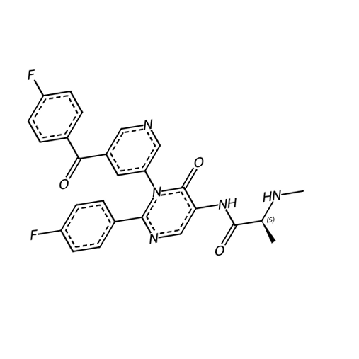 CN[C@@H](C)C(=O)Nc1cnc(-c2ccc(F)cc2)n(-c2cncc(C(=O)c3ccc(F)cc3)c2)c1=O